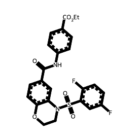 CCOC(=O)c1ccc(NC(=O)c2ccc3c(c2)N(S(=O)(=O)c2cc(F)ccc2F)CCO3)cc1